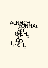 C=C(C)C(=O)OCCOC(=O)OC(C)OC(=O)c1c(I)c(NC(C)=O)c(C)c(NC(C)=O)c1I